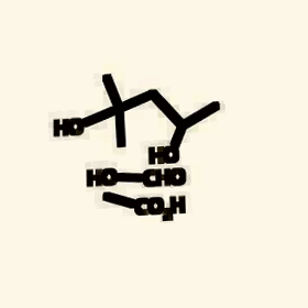 CC(=O)O.CC(O)CC(C)(C)O.O=CO